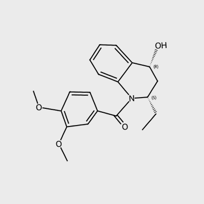 CC[C@H]1C[C@@H](O)c2ccccc2N1C(=O)c1ccc(OC)c(OC)c1